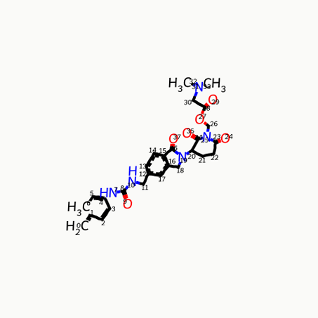 C=C/C=C\C(=C/C)NC(=O)NCc1ccc2c(c1)CN(C1CCC(=O)N(COC(=O)CN(C)C)C1=O)C2=O